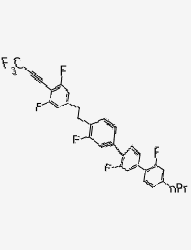 CCCc1ccc(-c2ccc(-c3ccc(CCc4cc(F)c(C#CC(F)(F)F)c(F)c4)c(F)c3)c(F)c2)c(F)c1